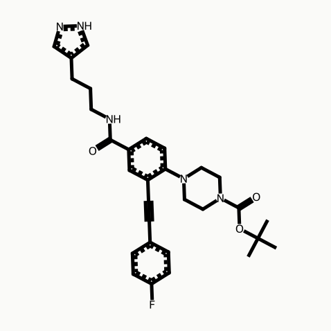 CC(C)(C)OC(=O)N1CCN(c2ccc(C(=O)NCCCc3cn[nH]c3)cc2C#Cc2ccc(F)cc2)CC1